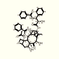 CC(=O)O[C@@]12COC1C[C@H](O)[C@@]1(C)C(=O)[C@H](O)C3=C(C)[C@@H](OC(=O)[C@H](O)[C@@H](NC(=O)c4ccccc4)c4ccccc4)C[C@@](O)([C@@H](OC(=O)c4ccccc4)C21)C3(C)C